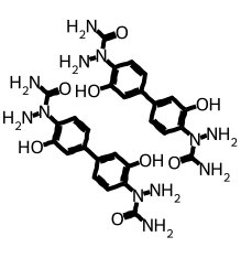 NC(=O)N(N)c1ccc(-c2ccc(N(N)C(N)=O)c(O)c2)cc1O.NC(=O)N(N)c1ccc(-c2ccc(N(N)C(N)=O)c(O)c2)cc1O